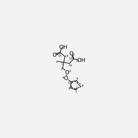 CC(COOc1ccsc1)(CC(=O)O)CC(=O)O